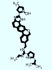 C=C/N=C(\NCC1C=C2COc3cc4c(cc3C2=CC1)C=CC1N=C([C@@H]2C[C@H](C)CN2O)NC41)[C@@H]1CC[C@H](CC(C)C)N1